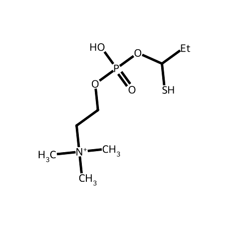 CCC(S)OP(=O)(O)OCC[N+](C)(C)C